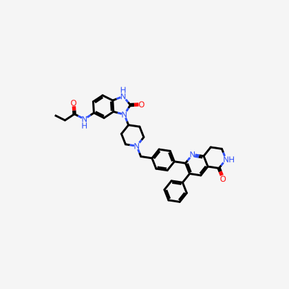 CCC(=O)Nc1ccc2[nH]c(=O)n(C3CCN(Cc4ccc(-c5nc6c(cc5-c5ccccc5)C(=O)NCC6)cc4)CC3)c2c1